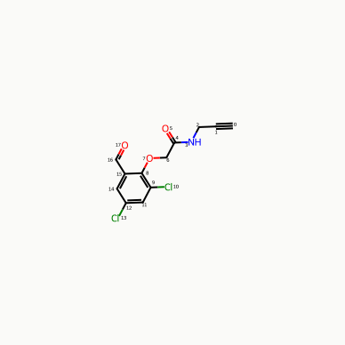 C#CCNC(=O)COc1c(Cl)cc(Cl)cc1C=O